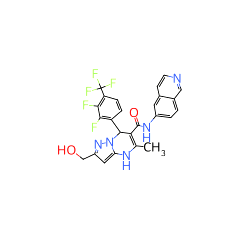 CC1=C(C(=O)Nc2ccc3cnccc3c2)C(c2ccc(C(F)(F)F)c(F)c2F)n2nc(CO)cc2N1